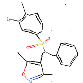 Cc1ccc(S(=O)(=O)C(c2ccccc2)c2c(C)noc2C)cc1Cl